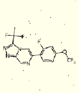 CC(F)(F)c1nnc2cnc(-c3ccc(OC(F)(F)F)cc3F)cn12